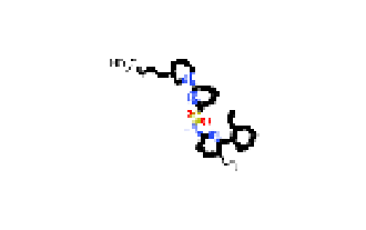 C=Cc1ccccc1-c1nc(NS(=O)(=O)c2cccc(N3CCCC(CCCC(=O)O)C3)n2)ccc1C(F)(F)F